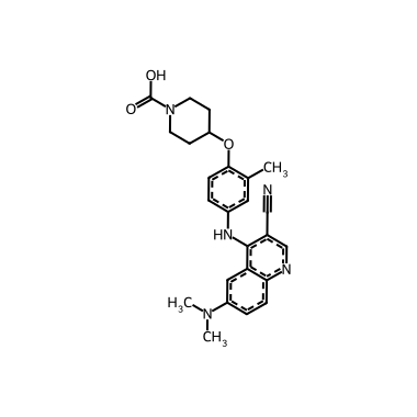 Cc1cc(Nc2c(C#N)cnc3ccc(N(C)C)cc23)ccc1OC1CCN(C(=O)O)CC1